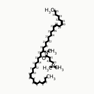 CC/C=C\C/C=C\C/C=C\CCCCCCCCC(CCCCCCCC/C=C\C/C=C\CCCCC)N(C)C(=O)CCCN(C)C